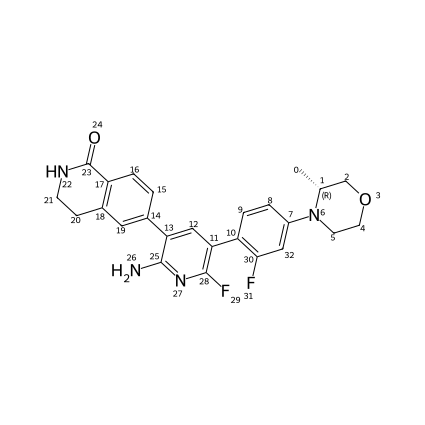 C[C@@H]1COCCN1c1ccc(-c2cc(-c3ccc4c(c3)CCNC4=O)c(N)nc2F)c(F)c1